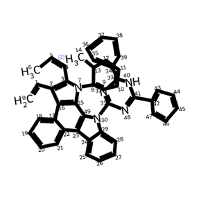 C=Cc1c(/C=C\C)n(C2=CC=CCC2C)c2c1c1ccccc1c1c3ccccc3n(C3=NC(c4ccccc4)NC(c4ccccc4)=N3)c12